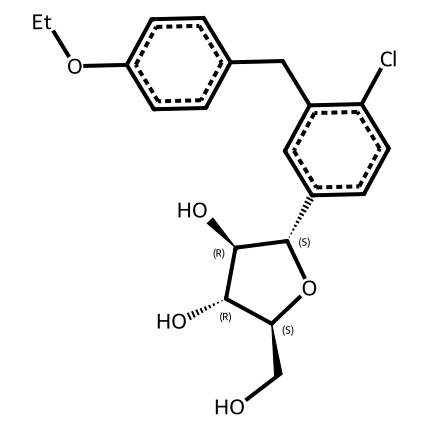 CCOc1ccc(Cc2cc([C@@H]3O[C@@H](CO)[C@H](O)[C@H]3O)ccc2Cl)cc1